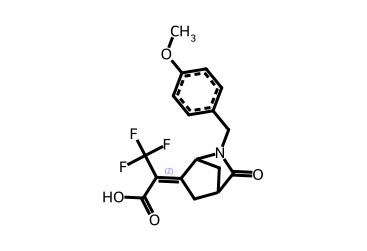 COc1ccc(CN2C(=O)C3C/C(=C(\C(=O)O)C(F)(F)F)C2C3)cc1